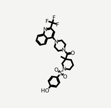 CC1(C(=O)N2CCN(c3cc(C(F)(F)F)nc4ccccc34)CC2)CCCN(S(=O)(=O)c2ccc(O)cc2)C1